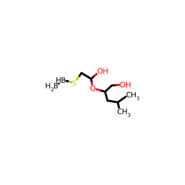 BBSCC(O)OC(CO)CC(C)C